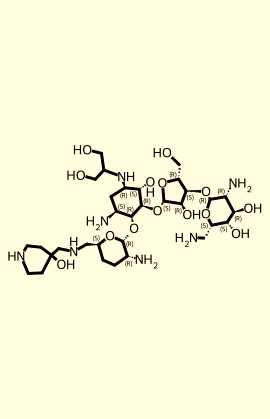 NC[C@@H]1O[C@H](O[C@H]2[C@@H](O)[C@H](O[C@@H]3[C@@H](O)[C@H](NC(CO)CO)C[C@H](N)[C@H]3O[C@H]3O[C@H](CNCC4(O)CCNCC4)CC[C@H]3N)O[C@@H]2CO)[C@H](N)[C@@H](O)[C@@H]1O